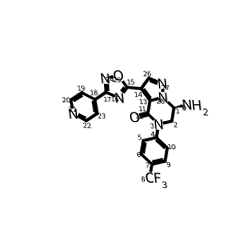 N[C@H]1CN(c2ccc(C(F)(F)F)cc2)C(=O)c2c(-c3nc(-c4ccncc4)no3)cnn21